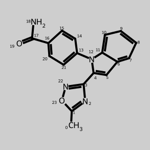 Cc1nc(-c2cc3ccccc3n2-c2ccc(C(N)=O)cc2)no1